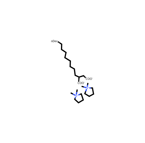 CCCCCCCCCCCCCCCCCCC(CC(=O)[O-])C(=O)[O-].C[N+]1(C)CCCC1.C[N+]1(C)CCCC1